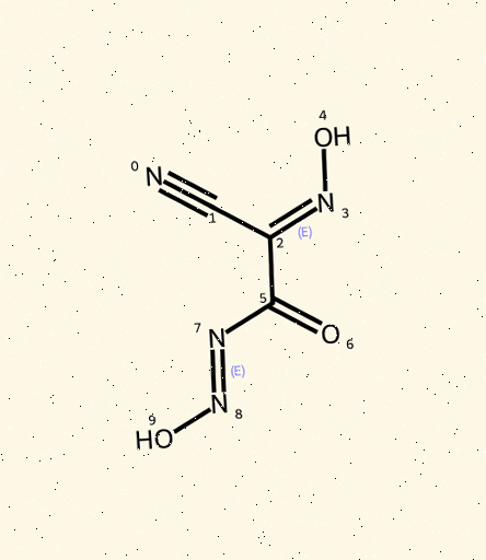 N#C/C(=N\O)C(=O)/N=N/O